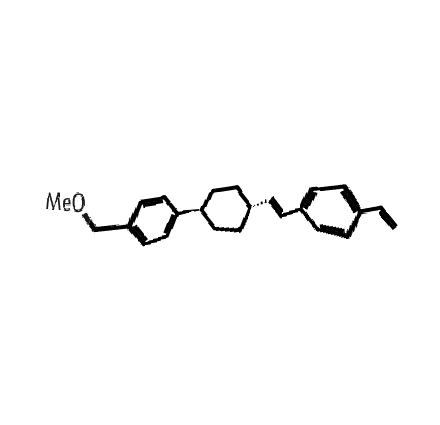 C=Cc1ccc(C=C[C@H]2CC[C@H](c3ccc(COC)cc3)CC2)cc1